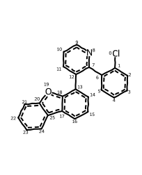 Clc1ccccc1-c1ncccc1-c1cccc2c1oc1ccccc12